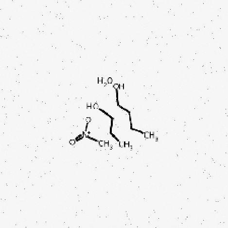 CCCCO.CCCO.C[N+](=O)[O-].O